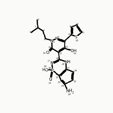 CC(C)CCn1nc(-c2cccs2)c(O)c(C2=NP(=O)(O)c3cc(N)ccc3N2)c1=O